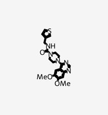 COc1cc2ncnc(N3CCN(C(=O)NCc4ccsc4)CC3)c2cc1OC